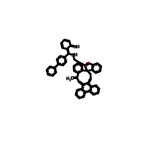 C=C1/C=c2\c(c3ccccc3c3ccccc23)=C/CC2(c3ccccc31)c1ccccc1-c1ccc(CN/C(=C3/C=CC=CC3=N)c3ccc(-c4ccccc4)cc3)cc12